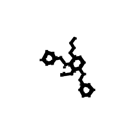 CCCCc1ccc(OCc2ccccc2)c(CBr)c1OCc1ccccc1